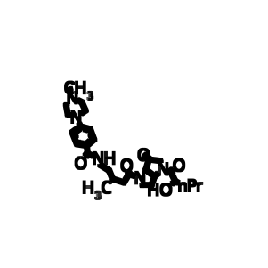 CCCC(O)C(=O)N1CC(=O)C2C1CCN2C(=O)CC(C)CCNC(=O)c1ccc(N2CCN(C)CC2)cc1